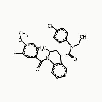 CCN(C(=O)[C@H]1C[C@H](C)N(C(=O)c2ccc(OC)c(F)c2)c2ccccc21)c1ccc(Cl)cc1